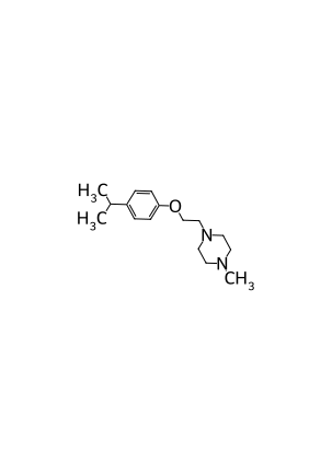 CC(C)c1ccc(OCCN2CCN(C)CC2)cc1